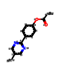 CCCCC(=O)Oc1ccc(-c2ncc(CCC)cn2)cc1